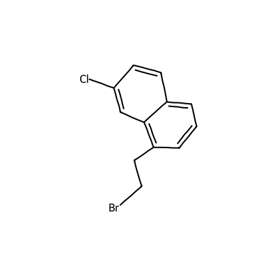 Clc1ccc2cccc(CCBr)c2c1